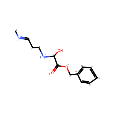 C/N=C/CCNC(O)C(=O)OCc1ccccc1